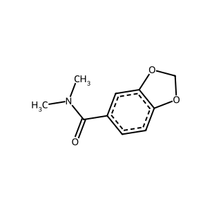 CN(C)C(=O)c1ccc2c(c1)OCO2